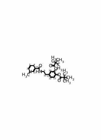 CN1C=CCC(C(=O)NCCc2ccc(OC(=O)C(C)(C)C)c(OC(=O)C(C)(C)C)c2)=C1